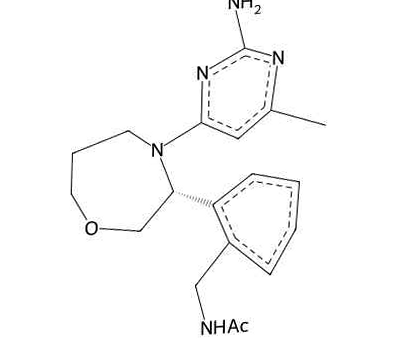 CC(=O)NCc1ccccc1[C@@H]1COCCCN1c1cc(C)nc(N)n1